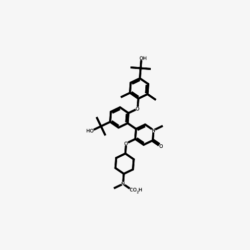 Cc1cc(C(C)(C)O)cc(C)c1Oc1ccc(C(C)(C)O)cc1-c1cn(C)c(=O)cc1OC1CCC(N(C)C(=O)O)CC1